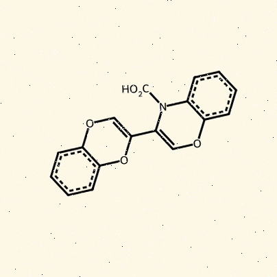 O=C(O)N1C(C2=COc3ccccc3O2)=COc2ccccc21